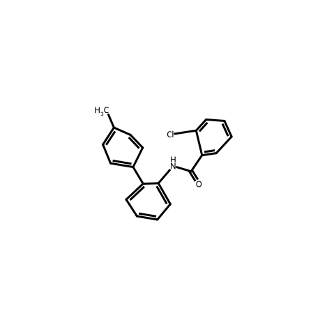 Cc1ccc(-c2ccccc2NC(=O)c2ccccc2Cl)cc1